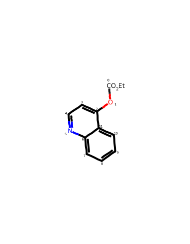 CCOC(=O)Oc1ccnc2ccccc12